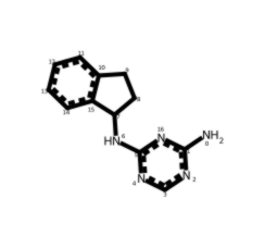 Nc1ncnc(NC2CCc3ccccc32)n1